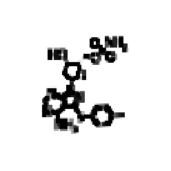 Cc1ccc(Sc2nn([C@H]3C[C@H](O)[C@H](COS(N)(=O)=O)O3)c3ncnc(N)c23)cc1